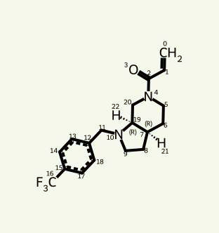 C=CC(=O)N1CC[C@H]2CCN(Cc3ccc(C(F)(F)F)cc3)[C@H]2C1